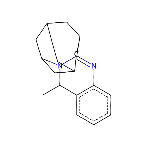 CC1c2ccccc2N=C2C3CC4CC(C3)CC(C4)N21